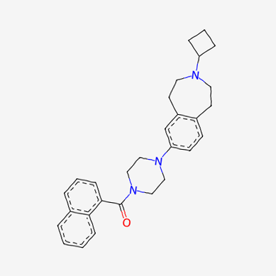 O=C(c1cccc2ccccc12)N1CCN(c2ccc3c(c2)CCN(C2CCC2)CC3)CC1